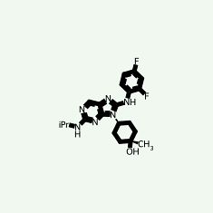 CC(C)Nc1ncc2nc(Nc3ccc(F)cc3F)n([C@H]3CC[C@@](C)(O)CC3)c2n1